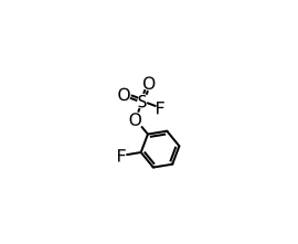 O=S(=O)(F)Oc1ccccc1F